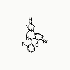 Fc1ccccc1C1=NCC2=NNCN2c2ccc(Br)c(Cl)c21